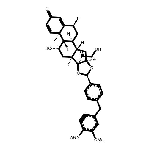 CNc1c#cc(Cc2ccc([C@@H]3O[C@@H]4C[C@H]5[C@@H]6C[C@H](F)C7=CC(=O)C=C[C@]7(C)[C@@]6(F)[C@@H](O)C[C@]5(C)[C@]4(C(=O)CO)O3)cc2)cc1OC